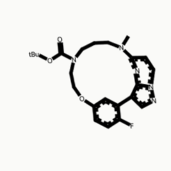 CN1CCCN(C(=O)OC(C)(C)C)CCOc2ccc(F)c(c2)-c2cnn3ccc1nc23